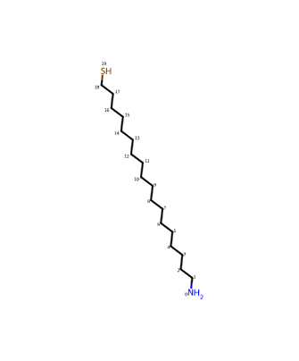 NCCCCCCCCCCCCCCCCCCS